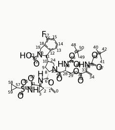 C=C[C@@H]1C[C@]1(NC(=O)[C@@H]1C[C@@H](C2c3cccc(F)c3CN2C(=O)O)CN1C(=O)[C@H](COC(=O)C(=C)NC(=O)OC(C)(C)C)NC(=O)OC(C)(C)C)C(=O)NS(=O)(=O)C1CC1